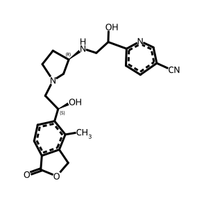 Cc1c([C@H](O)CN2CC[C@@H](NCC(O)c3ccc(C#N)cn3)C2)ccc2c1COC2=O